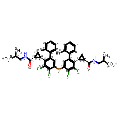 CC(CNC(=O)[C@@H]1C[C@H]1c1c(-c2ccccc2C(C)C)cc(Sc2cc(-c3ccccc3C(C)C)c([C@@H]3C[C@H]3C(=O)NCC(C)C(=O)O)c(Cl)c2Cl)c(Cl)c1Cl)C(=O)O